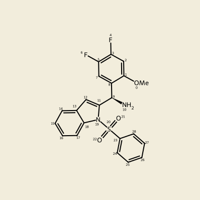 COc1cc(F)c(F)cc1[C@@H](N)c1cc2ccccc2n1S(=O)(=O)c1ccccc1